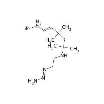 CC(C)[SiH2]C=CC(C)(C)CC(C)(C)NCCN=NN